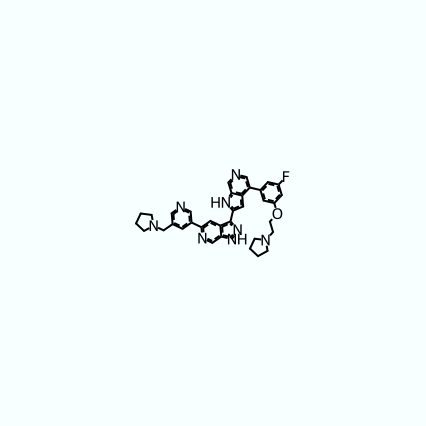 Fc1cc(OCCN2CCCC2)cc(-c2cncc3[nH]c(-c4n[nH]c5cnc(-c6cncc(CN7CCCC7)c6)cc45)cc23)c1